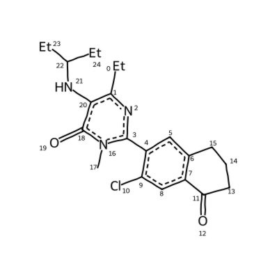 CCc1nc(-c2cc3c(cc2Cl)C(=O)CCC3)n(C)c(=O)c1NC(CC)CC